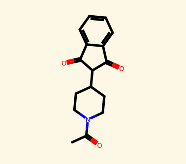 CC(=O)N1CCC(C2C(=O)c3ccccc3C2=O)CC1